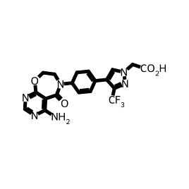 Nc1ncnc2c1C(=O)N(C1C=CC(c3cn(CC(=O)O)nc3C(F)(F)F)=CC1)CCO2